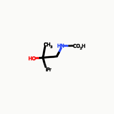 CC(C)C(C)(O)CNC(=O)O